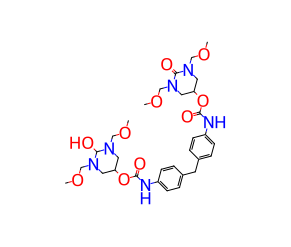 COCN1CC(OC(=O)Nc2ccc(Cc3ccc(NC(=O)OC4CN(COC)C(O)N(COC)C4)cc3)cc2)CN(COC)C1=O